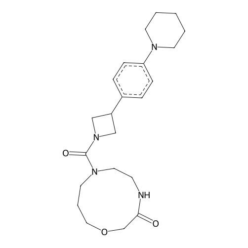 O=C1COCCCN(C(=O)N2CC(c3ccc(N4CCCCC4)cc3)C2)CCN1